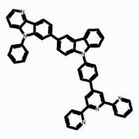 c1ccc(-n2c3cc(-c4ccc5c(c4)c4ccccc4n5-c4ccc(-c5cc(-c6ccccn6)nc(-c6ccccn6)c5)cc4)ccc3c3ncccc32)cc1